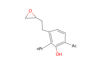 CCCc1c(CCC2CO2)ccc(C(C)=O)c1O